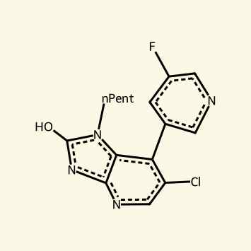 CCCCCn1c(O)nc2ncc(Cl)c(-c3cncc(F)c3)c21